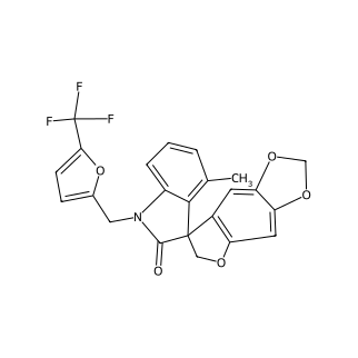 Cc1cccc2c1C1(COc3cc4c(cc31)OCO4)C(=O)N2Cc1ccc(C(F)(F)F)o1